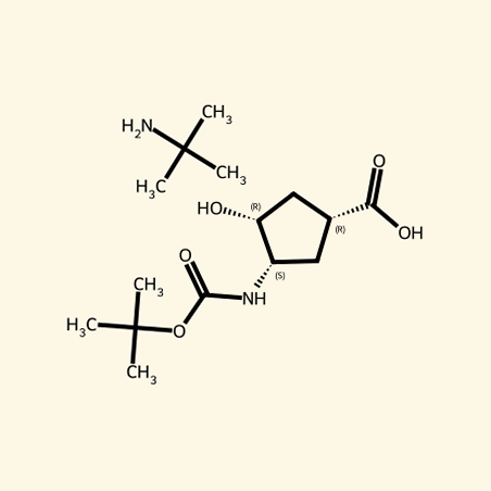 CC(C)(C)N.CC(C)(C)OC(=O)N[C@H]1C[C@@H](C(=O)O)C[C@H]1O